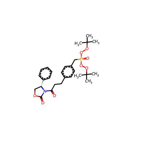 CC(C)(C)OOP(=O)(Cc1ccc(CCC(=O)N2C(=O)OC[C@@H]2c2ccccc2)cc1)OOC(C)(C)C